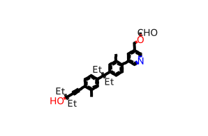 CCC(O)(C#Cc1ccc(C(CC)(CC)c2ccc(-c3cncc(COC=O)c3)c(C)c2)cc1C)CC